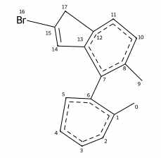 Cc1ccccc1-c1c(C)ccc2c1C=C(Br)C2